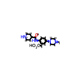 CC(=O)O.CN1CCN(c2ccc(NC(=O)C3CCNCC3)cc2)CC1